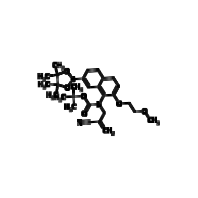 C=C(C#N)CN(C(=O)OC(C)(C)C)c1c(OCCOC)ccc2ccc(B3OC(C)(C)C(C)(C)O3)cc12